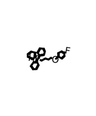 Fc1ccc(OCCCC[PH](c2ccccc2)(c2ccccc2)c2ccccc2)cc1